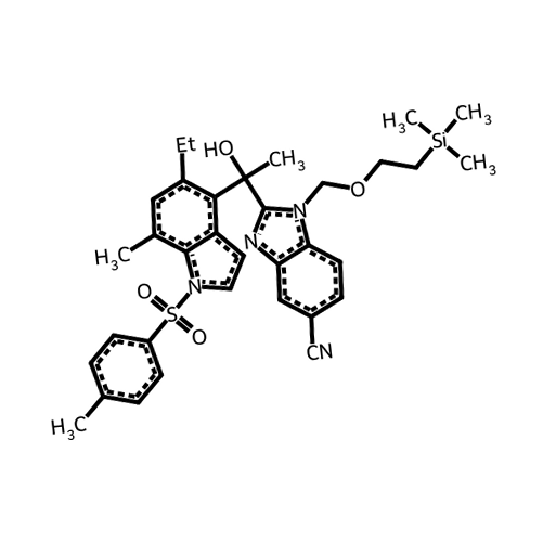 CCc1cc(C)c2c(ccn2S(=O)(=O)c2ccc(C)cc2)c1C(C)(O)c1nc2cc(C#N)ccc2n1COCC[Si](C)(C)C